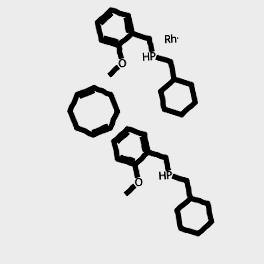 C1=CCCC=CCC1.COc1ccccc1CPCC1CCCCC1.COc1ccccc1CPCC1CCCCC1.[Rh]